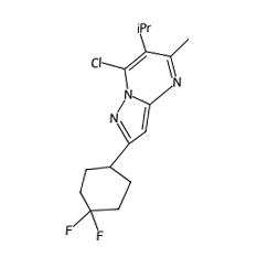 Cc1nc2cc(C3CCC(F)(F)CC3)nn2c(Cl)c1C(C)C